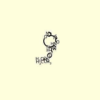 CC(C)(C)OC(=O)N1CCN(CCn2ncc3c2C(=O)NCCCCCOc2cc(ccn2)-c2nc(cs2)C(=O)N3)CC1